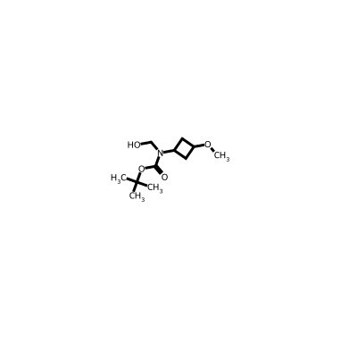 COC1CC(N(CO)C(=O)OC(C)(C)C)C1